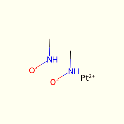 CN[O-].CN[O-].[Pt+2]